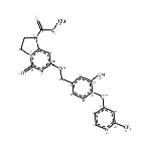 CC(C)(C)OC(=O)N1CCn2c1cc(OCc1ccc(Oc3ccnc(C(F)(F)F)c3)c(C#N)c1)nc2=O